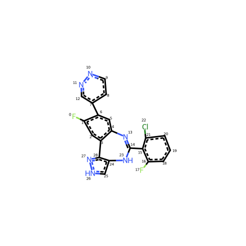 Fc1cc2c(cc1-c1ccnnc1)N=C(c1c(F)cccc1Cl)Nc1c[nH]nc1-2